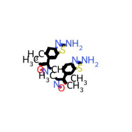 Cc1cc2nc(N)sc2cc1-c1c(C)noc1C.Cc1noc(C)c1-c1ccc2nc(N)sc2c1C